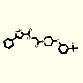 O=C(NCC(=O)N1CCC(Oc2cccc(C(F)(F)F)c2)CC1)c1cc(-c2ccccc2)on1